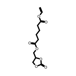 C=COC(=O)CCCCC(=O)OCC1COC(=O)O1